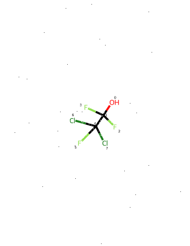 OC(F)(F)C(F)(Cl)Cl